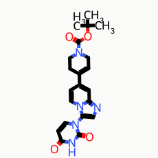 CC(C)(C)OC(=O)N1CC=C(c2ccn3c(-n4ccc(=O)[nH]c4=O)cnc3c2)CC1